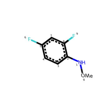 CONc1ccc(F)cc1F